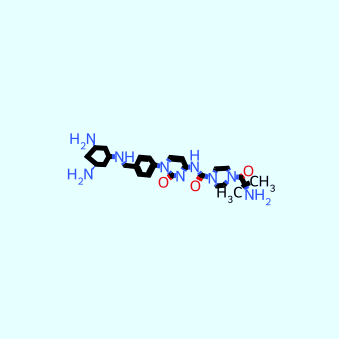 CC(C)(N)C(=O)N1CCN(C(=O)Nc2ccn(-c3ccc(CNC4C[C@@H](N)C[C@@H](N)C4)cc3)c(=O)n2)CC1